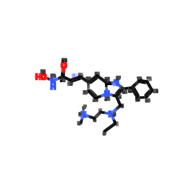 CCN(CCN(C)C)Cc1c(-c2ccccc2)nc2cc(/C=C/C(=O)NO)ccn12